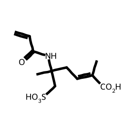 C=CC(=O)NC(C)(CC=C(C)C(=O)O)CS(=O)(=O)O